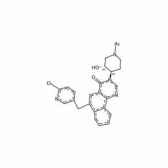 CC(=O)N1CC[C@@H](n2cnc3c(cc(Cc4ccc(Cl)nc4)c4ccccc43)c2=O)[C@H](O)C1